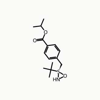 CC(C)OC(=O)c1ccc(C[S@]2(C(C)(C)C)NO2)cc1